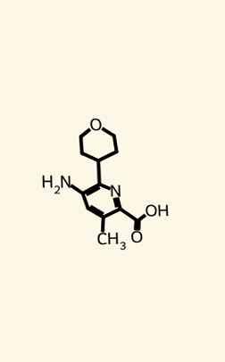 Cc1cc(N)c(C2CCOCC2)nc1C(=O)O